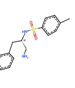 Cc1ccc(S(=O)(=O)N[C@H](CN)Cc2ccccc2)cc1